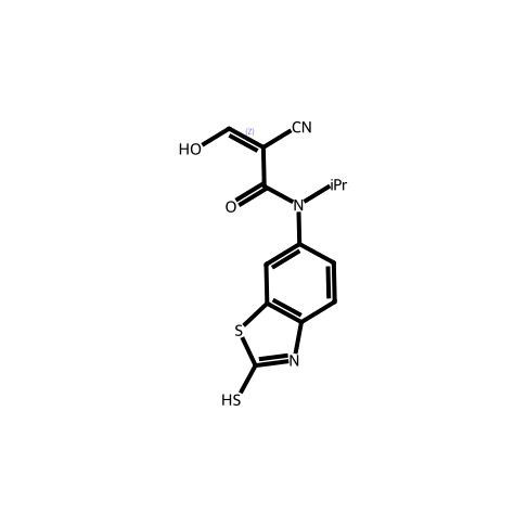 CC(C)N(C(=O)/C(C#N)=C\O)c1ccc2nc(S)sc2c1